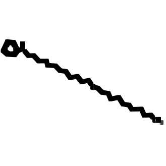 CCCCCCCCCCCCOCCCCCCCCCCCCNc1ccccc1